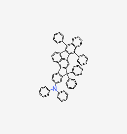 c1ccc(-c2c3c(c(-c4ccccc4)c4ccccc24)-c2cc4c(c5cccc-3c25)-c2ccc(N(c3ccccc3)c3ccccc3)cc2C4(c2ccccc2)c2ccccc2)cc1